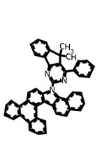 CC1(C)c2ccccc2-c2nc(-n3c4ccc5c6ccccc6c6ccccc6c5c4c4ccc5ccccc5c43)nc(-c3ccccc3)c21